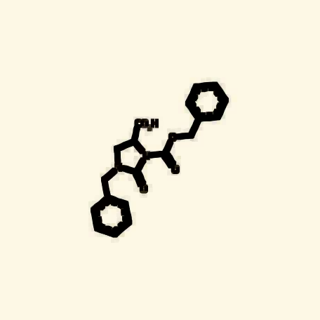 O=C(O)C1CN(Cc2ccccc2)C(=O)N1C(=O)OCc1ccccc1